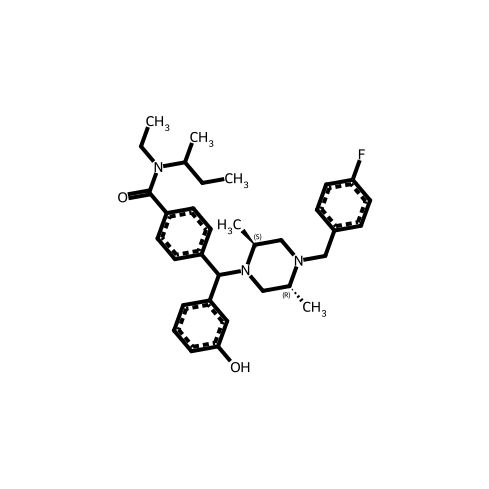 CCC(C)N(CC)C(=O)c1ccc(C(c2cccc(O)c2)N2C[C@@H](C)N(Cc3ccc(F)cc3)C[C@@H]2C)cc1